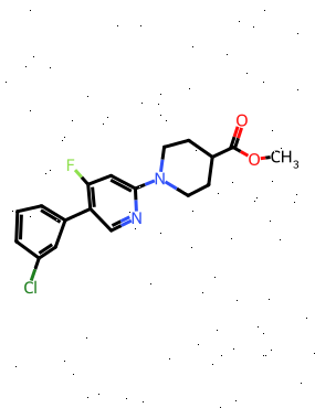 COC(=O)C1CCN(c2cc(F)c(-c3cccc(Cl)c3)cn2)CC1